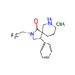 Cl.O=C1N(CC(F)(F)F)CC(c2ccccc2)C12CCCNC2